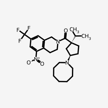 CC(C)[C@]1(C(=O)N2CCc3c(cc(C(F)(F)F)cc3[N+](=O)[O-])C2)CC[C@@H](N2CCCCCCC2)C1